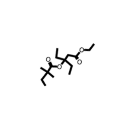 CCOC(=O)CC(CC)(CC)OC(=O)C(C)(C)CC